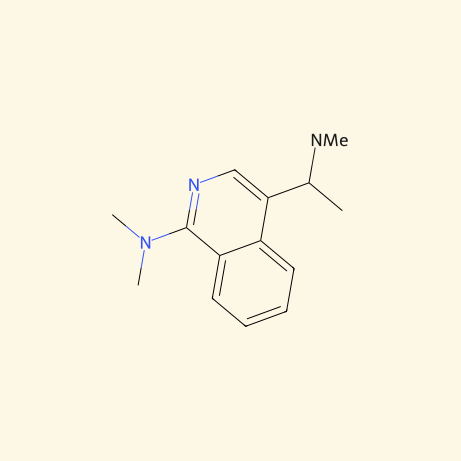 CNC(C)c1cnc(N(C)C)c2ccccc12